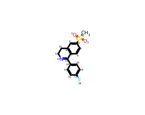 CS(=O)(=O)c1ccc2c(c1)CCN=C2c1ccc(F)cc1